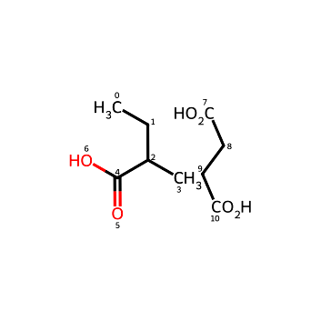 CCC(C)C(=O)O.O=C(O)CCC(=O)O